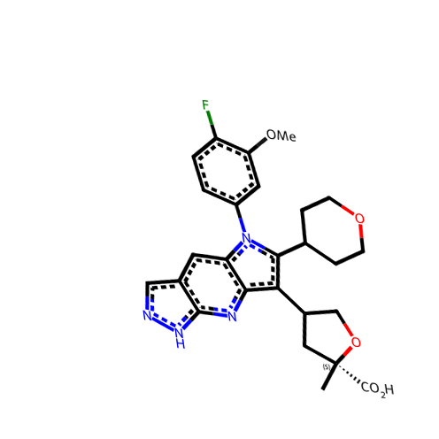 COc1cc(-n2c(C3CCOCC3)c(C3CO[C@](C)(C(=O)O)C3)c3nc4[nH]ncc4cc32)ccc1F